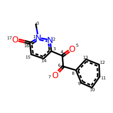 Cn1nc(C(=O)C(=O)c2ccccc2)ccc1=O